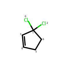 ClC1(Cl)C=[C]CC1